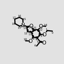 CCOc1c(C(C)=O)c(OC)c2cc(N3CCCCC3)oc2c1OC